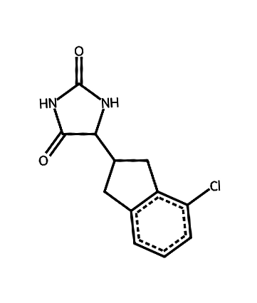 O=C1NC(=O)C(C2Cc3cccc(Cl)c3C2)N1